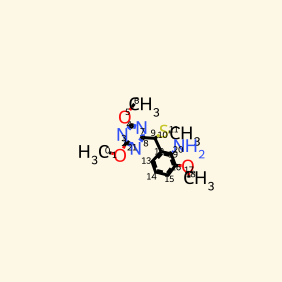 COc1nc(OC)nc(C(SC)c2cccc(OC)c2N)n1